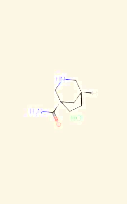 Cl.NC(=O)[C@@]12CC[C@@H](CNC1)C2